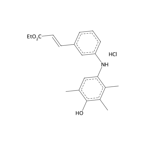 CCOC(=O)C=Cc1cccc(Nc2cc(C)c(O)c(C)c2C)c1.Cl